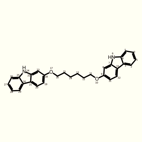 c1ccc2c(c1)[nH]c1cc(OCCCCCCOc3ccc4c(c3)[nH]c3ccccc34)ccc12